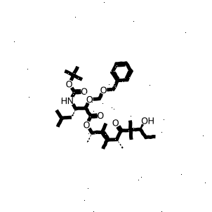 CC[C@H](O)C(C)(C)C(=O)[C@H](C)/C(C)=C(\C)[C@H](C)OC(=O)C(OCOCc1ccccc1)[C@H](CC(C)C)NC(=O)OC(C)(C)C